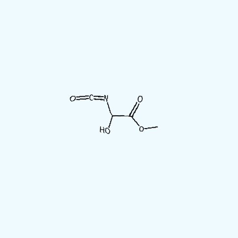 COC(=O)C(O)N=C=O